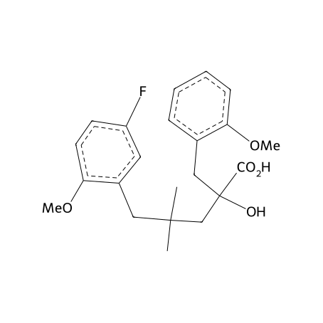 COc1ccc(F)cc1CC(C)(C)CC(O)(Cc1ccccc1OC)C(=O)O